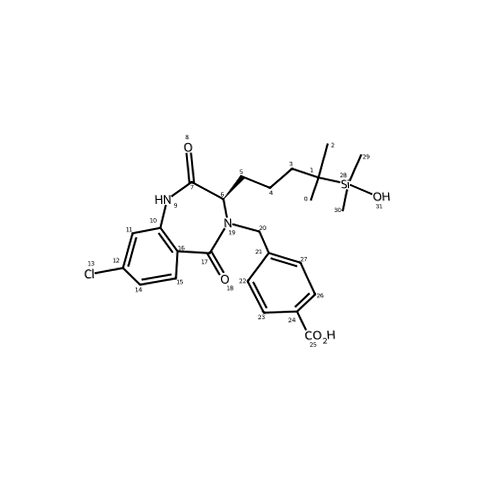 CC(C)(CCC[C@@H]1C(=O)Nc2cc(Cl)ccc2C(=O)N1Cc1ccc(C(=O)O)cc1)[Si](C)(C)O